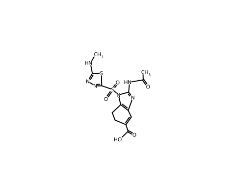 CNc1nnc(S(=O)(=O)n2c(NC(C)=O)nc3c2CCC(C(=O)O)=C3)s1